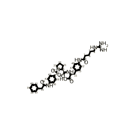 N=C(N)NCCCCC(=O)Nc1ccc(C[C@H](NC(=O)[C@@H]2CCCN2S(=O)(=O)c2ccc(NC(=O)Cc3ccccc3)cc2)C(=O)O)cc1